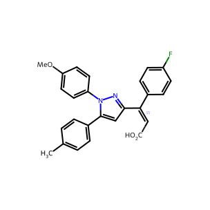 COc1ccc(-n2nc(/C(=C\C(=O)O)c3ccc(F)cc3)cc2-c2ccc(C)cc2)cc1